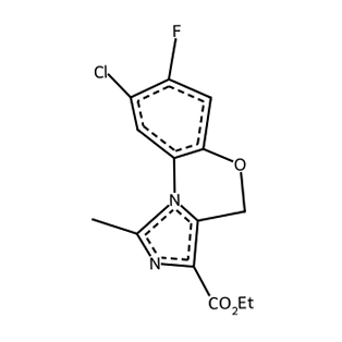 CCOC(=O)c1nc(C)n2c1COc1cc(F)c(Cl)cc1-2